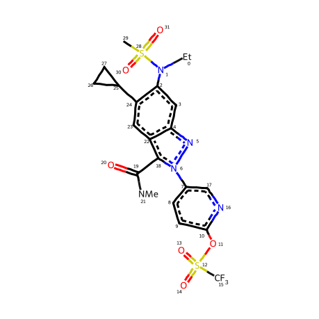 CCN(c1cc2nn(-c3ccc(OS(=O)(=O)C(F)(F)F)nc3)c(C(=O)NC)c2cc1C1CC1)S(C)(=O)=O